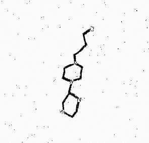 ClCCCN1CCN(C2CNCC[N]2)CC1